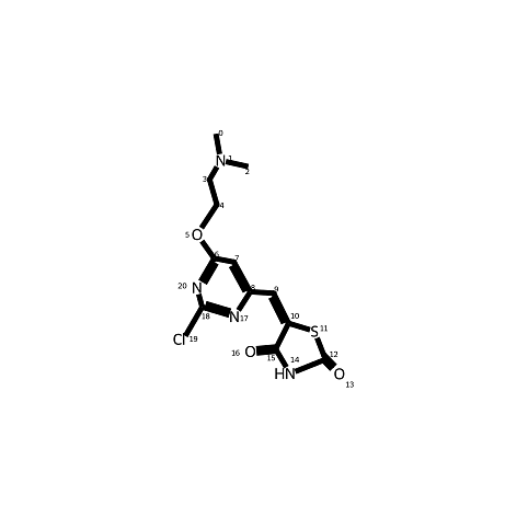 CN(C)CCOc1cc(/C=C2/SC(=O)NC2=O)nc(Cl)n1